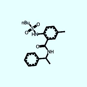 CCCCS(=O)(=O)Nc1ccc(C)cc1C(=O)NC(C)c1ccccc1